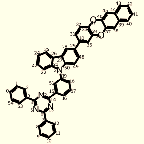 c1ccc(-c2nc(-c3ccccc3)nc(-c3cccc(-n4c5ccccc5c5cc(-c6ccc7c(c6)Oc6cc8ccccc8cc6O7)ccc54)c3)n2)cc1